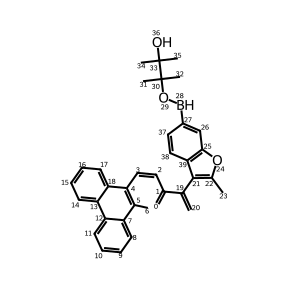 C=C(/C=C\c1c(C)c2ccccc2c2ccccc12)C(=C)c1c(C)oc2cc(BOC(C)(C)C(C)(C)O)ccc12